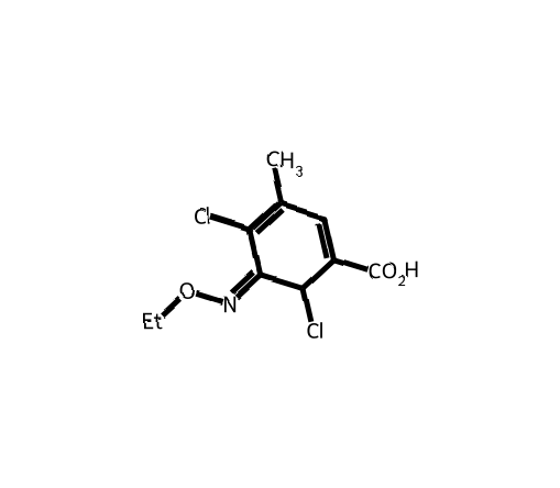 CCON=C1C(Cl)=C(C)C=C(C(=O)O)C1Cl